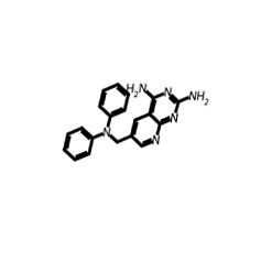 Nc1nc(N)c2cc(CN(c3ccccc3)c3ccccc3)cnc2n1